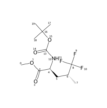 COC(=O)[C@H](C[C@@H](C)C(F)(F)F)NC(=O)OC(C)(C)C